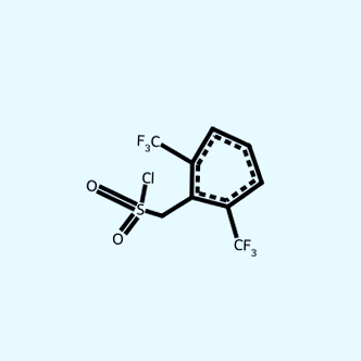 O=S(=O)(Cl)Cc1c(C(F)(F)F)cccc1C(F)(F)F